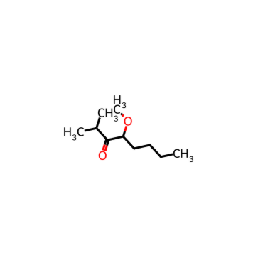 CCCCC(OC)C(=O)C(C)C